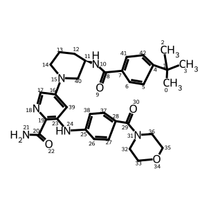 CC(C)(C)c1ccc(C(=O)N[C@@H]2CCCN(c3cnc(C(N)=O)c(Nc4ccc(C(=O)N5CCOCC5)cc4)c3)C2)cc1